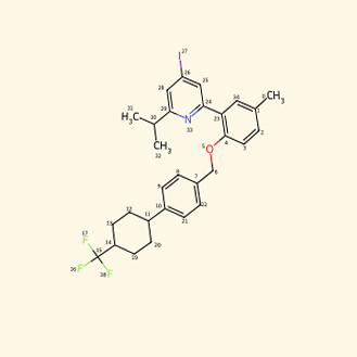 Cc1ccc(OCc2ccc(C3CCC(C(F)(F)F)CC3)cc2)c(-c2cc(I)cc(C(C)C)n2)c1